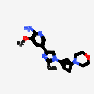 Nc1ncc(-c2cn(C3CC4(N5CCOCC5)CC3C4)c(C=O)n2)cc1OC(F)(F)F